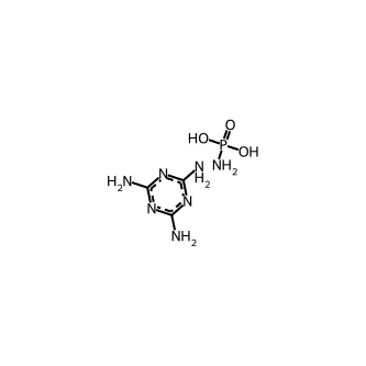 NP(=O)(O)O.Nc1nc(N)nc(N)n1